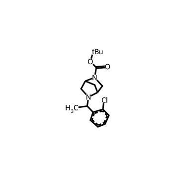 CC(c1ccccc1Cl)N1CC2CC1CN2C(=O)OC(C)(C)C